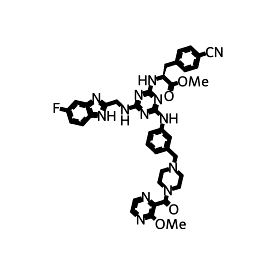 COC(=O)[C@H](Cc1ccc(C#N)cc1)Nc1nc(NCc2nc3cc(F)ccc3[nH]2)nc(Nc2cccc(CN3CCN(C(=O)c4nccnc4OC)CC3)c2)n1